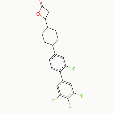 O=C1CC(C2CCC(c3ccc(-c4cc(F)c(F)c(F)c4)c(F)c3)CC2)O1